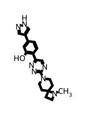 CN1CCC12CCN(c1ncc(-c3ccc(-c4cn[nH]c4)cc3O)nn1)CC2